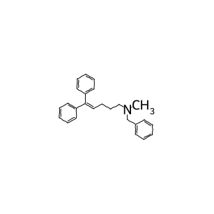 CN(CCCC=C(c1ccccc1)c1ccccc1)Cc1ccccc1